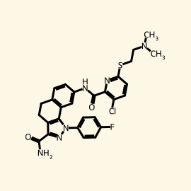 CN(C)CCSc1ccc(Cl)c(C(=O)Nc2ccc3c(c2)-c2c(c(C(N)=O)nn2-c2ccc(F)cc2)CC3)n1